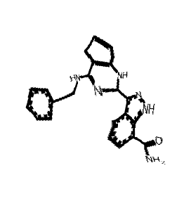 NC(=O)c1cccc2c(C3N=C(NCc4ccccc4)C4=C(C=CC4)N3)n[nH]c12